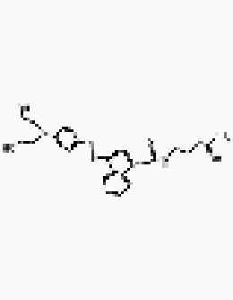 N=C(N)SCCNC(=O)C[n+]1ccc(/N=N/c2ccc(N(CCO)CCO)cc2)c2ccccc21